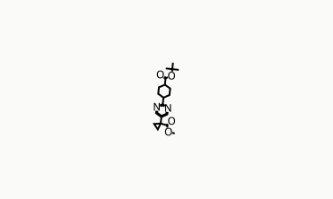 COC(=O)C1(c2cnc(C3CCC(C(=O)OC(C)(C)C)CC3)nc2)CC1